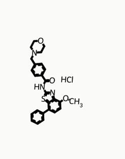 COc1ccc(-c2ccccc2)c2sc(NC(=O)c3ccc(CN4CCOCC4)cc3)nc12.Cl